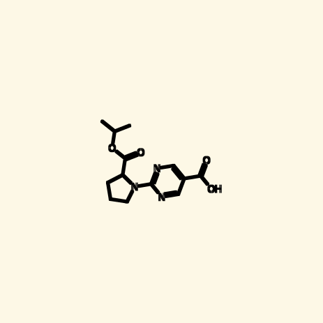 CC(C)OC(=O)C1CCCN1c1ncc(C(=O)O)cn1